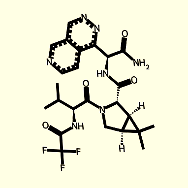 CC(C)[C@H](NC(=O)C(F)(F)F)C(=O)N1C[C@H]2[C@@H]([C@H]1C(=O)N[C@H](C(N)=O)c1nncc3cnccc13)C2(C)C